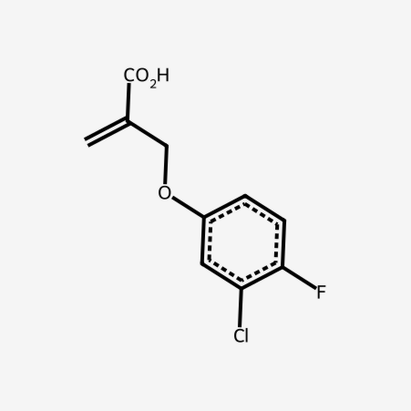 C=C(COc1ccc(F)c(Cl)c1)C(=O)O